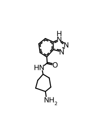 NC1CCC(NC(=O)c2cccc3[nH]nnc23)CC1